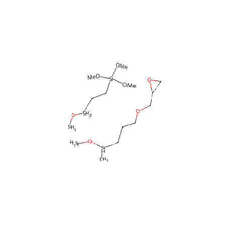 CO[Si](CC[SiH2]O[SiH3])(OC)OC.C[SiH](CCCOCC1CO1)O[SiH3]